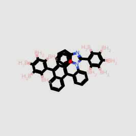 Bc1c(B)c(B)c(-c2c3ccccc3c(-c3ccccc3-n3c(-c4c(B)c(B)c(B)c(B)c4B)nc4ccccc43)c3ccccc23)c(B)c1B